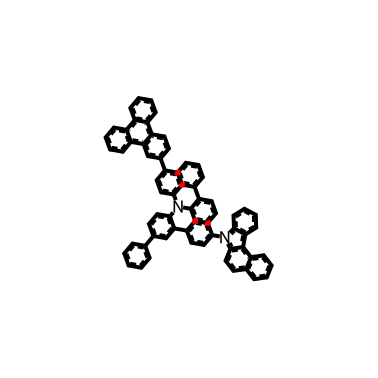 c1ccc(-c2ccc(N(c3ccc(-c4ccc5c6ccccc6c6ccccc6c5c4)cc3)c3ccccc3-c3ccccc3)c(-c3ccc(-n4c5ccccc5c5c6ccccc6ccc54)cc3)c2)cc1